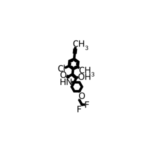 CC#Cc1cc(C)c(C2=C(O)C3(CCC(OCC(F)F)CC3)NC2=O)c(Cl)c1